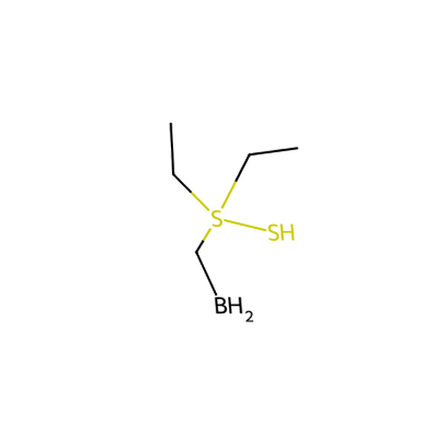 BCS(S)(CC)CC